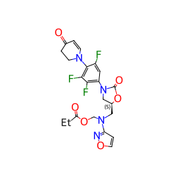 CCC(=O)OCN(C[C@H]1CN(c2cc(F)c(N3C=CC(=O)CC3)c(F)c2F)C(=O)O1)c1ccon1